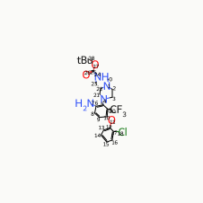 CN1CCN(c2c(N)ccc(Oc3ccccc3Cl)c2C(F)(F)F)C[C@@H]1CNC(=O)OC(C)(C)C